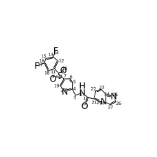 O=C(NCc1ccc(S(=O)(=O)c2cc(F)cc(F)c2)cn1)c1ccc2nccn2c1